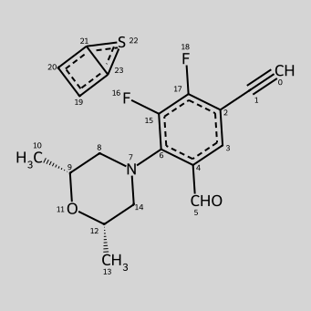 C#Cc1cc(C=O)c(N2C[C@@H](C)O[C@@H](C)C2)c(F)c1F.c1cc2sc1-2